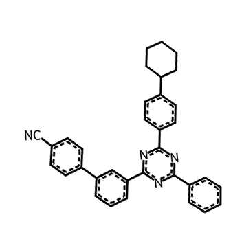 N#Cc1ccc(-c2cccc(-c3nc(-c4ccccc4)nc(-c4ccc(C5CCCCC5)cc4)n3)c2)cc1